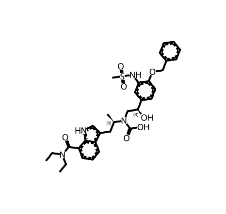 CCN(CC)C(=O)c1cccc2c(C[C@@H](C)N(C[C@H](O)c3ccc(OCc4ccccc4)c(NS(C)(=O)=O)c3)C(=O)O)c[nH]c12